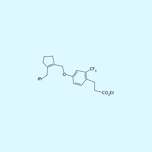 CCOC(=O)CCc1ccc(OCC2=C(CC(C)C)CCC2)cc1C(F)(F)F